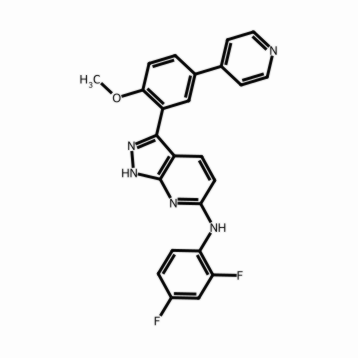 COc1ccc(-c2ccncc2)cc1-c1n[nH]c2nc(Nc3ccc(F)cc3F)ccc12